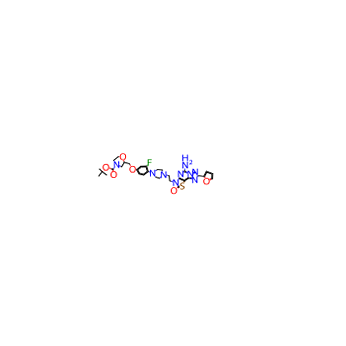 CC(C)(C)OC(=O)N1CCOC(COc2ccc(N3CCN(CCn4c(=O)sc5c4nc(N)n4nc(-c6ccco6)nc54)CC3)c(F)c2)C1